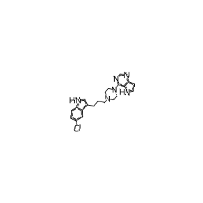 Clc1ccc2[nH]cc(CCCN3CCN(c4ncnc5cc[nH]c45)CC3)c2c1